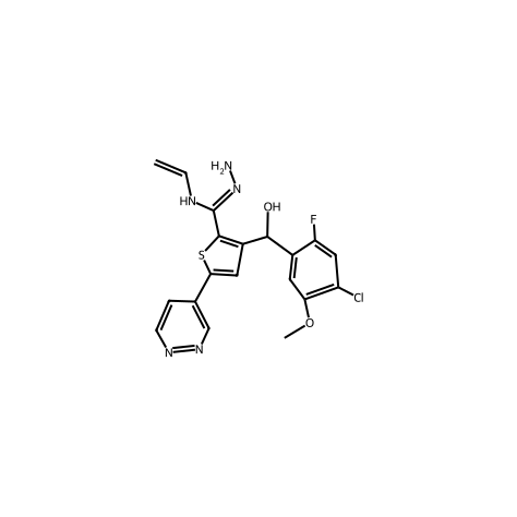 C=CN/C(=N\N)c1sc(-c2ccnnc2)cc1C(O)c1cc(OC)c(Cl)cc1F